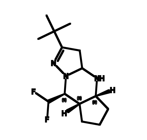 CC(C)(C)C1=NN2C(C1)N[C@@H]1CCC[C@@H]1[C@H]2C(F)F